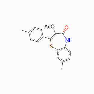 CC(=O)OC1=C(c2ccc(C)cc2)Sc2cc(C)ccc2NC1=O